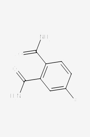 NC(=O)c1ccc(F)cc1C(N)=O